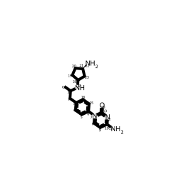 CC(Cc1ccc(-n2ccc(N)nc2=O)cc1)NC1CC[C@H](N)C1